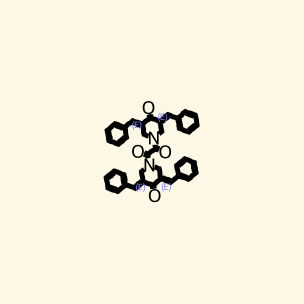 O=C1/C(=C/c2ccccc2)CN(C(=O)C(=O)N2C/C(=C\c3ccccc3)C(=O)/C(=C/c3ccccc3)C2)C/C1=C\c1ccccc1